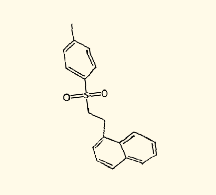 Cc1ccc(S(=O)(=O)CCc2cccc3ccccc23)cc1